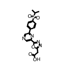 CC(C)S(=O)(=O)c1ccc(-c2cncc(-c3nnc(CC(=O)O)o3)n2)cc1